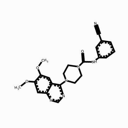 COc1cc2ncnc(N3CCN(C(=O)Nc4cccc(C#N)c4)CC3)c2cc1OC